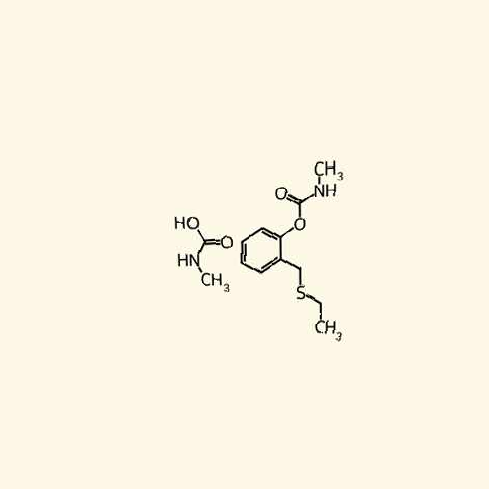 CCSCc1ccccc1OC(=O)NC.CNC(=O)O